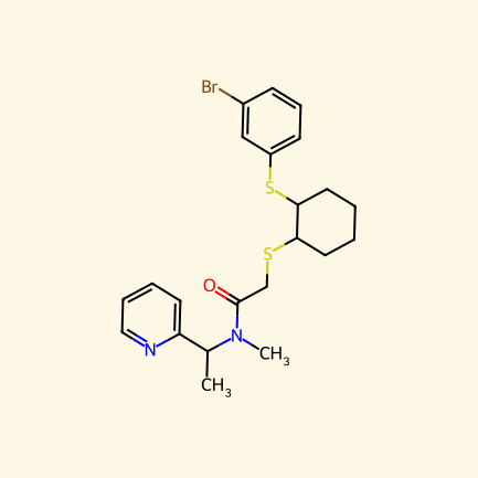 CC(c1ccccn1)N(C)C(=O)CSC1CCCCC1Sc1cccc(Br)c1